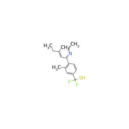 C=C/N=C(\C=C(/C)CC)c1ccc(C(F)(F)S)cc1C